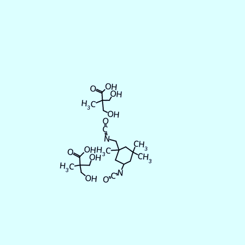 CC(CO)(CO)C(=O)O.CC(CO)(CO)C(=O)O.CC1(C)CC(N=C=O)CC(C)(CN=C=O)C1